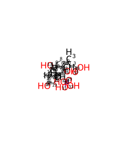 C[C@H](CCC(=O)O)[C@H]1CC[C@H]2[C@@H]3[C@H](O)C[C@@H]4C[C@H](O)CC[C@]4(C)[C@H]3C[C@H](O)[C@]12C.O=P(O)(O)O